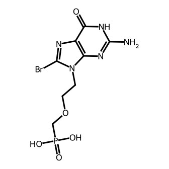 Nc1nc2c(nc(Br)n2CCOCP(=O)(O)O)c(=O)[nH]1